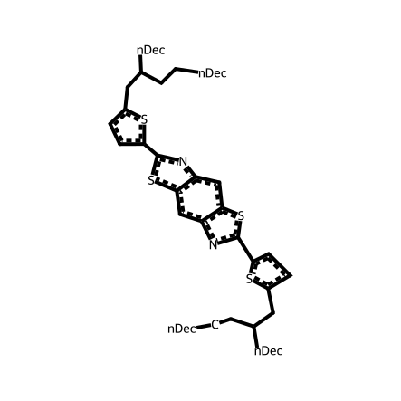 CCCCCCCCCCCCC(CCCCCCCCCC)Cc1ccc(-c2nc3cc4sc(-c5ccc(CC(CCCCCCCCCC)CCCCCCCCCCCC)s5)nc4cc3s2)s1